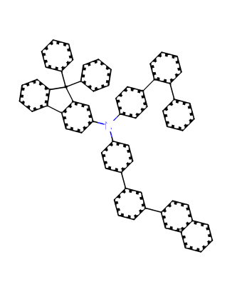 c1ccc(-c2ccccc2-c2ccc(N(c3ccc(-c4cccc(-c5ccc6ccccc6c5)c4)cc3)c3ccc4c(c3)C(c3ccccc3)(c3ccccc3)c3ccccc3-4)cc2)cc1